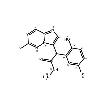 Cc1ccc2ncc(C(C(=O)NN)c3cc(Br)ccc3O)n2n1